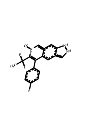 CC(F)(F)C1=C(c2ccc(F)cc2)c2cc3c(cc2=C[NH+]1[O-])NNC=3